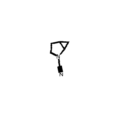 N#CN1CCC2CC21